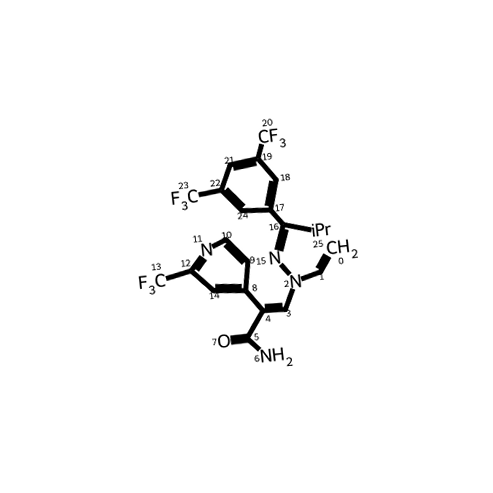 C=CN(/C=C(/C(N)=O)c1ccnc(C(F)(F)F)c1)/N=C(/c1cc(C(F)(F)F)cc(C(F)(F)F)c1)C(C)C